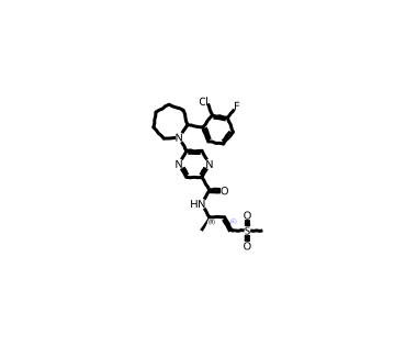 C[C@H](/C=C/S(C)(=O)=O)NC(=O)c1cnc(N2CCCCCC2c2cccc(F)c2Cl)cn1